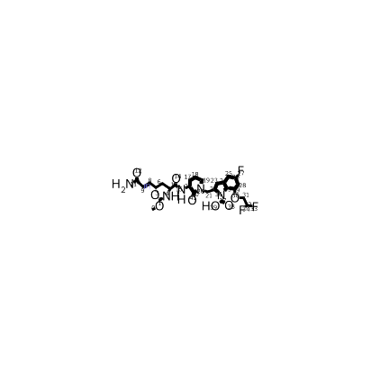 COC(=O)NC(CC/C=C/C(N)=O)C(=O)Nc1cccn(Cc2cc3cc(F)cc(OCC(F)F)c3n2C(=O)O)c1=O